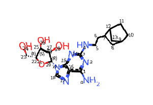 Nc1nc(NCCC2CC3CCC2C3)nc2c1ncn2[C@@H]1O[C@H](CO)[C@@H](O)[C@H]1O